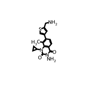 Cc1c(-c2csc(CN)c2)ccc2c(=O)n(N)c(=O)n(C3CC3)c12